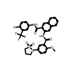 COc1ccc(N2CCCS2(=O)=O)cc1C(=O)Nc1cc2ccccc2cc1C(=O)Nc1ccc(F)c(C(F)(F)F)c1